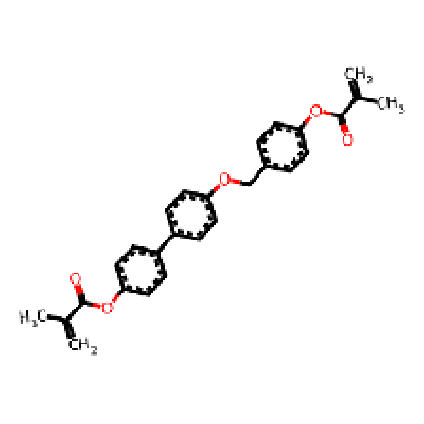 C=C(C)C(=O)Oc1ccc(COc2ccc(-c3ccc(OC(=O)C(=C)C)cc3)cc2)cc1